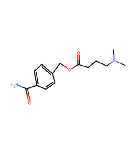 CN(C)CCCC(=O)OCc1ccc(C(N)=O)cc1